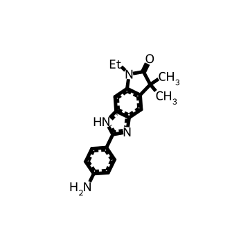 CCN1C(=O)C(C)(C)c2cc3nc(-c4ccc(N)cc4)[nH]c3cc21